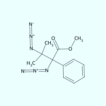 COC(=O)C(N=[N+]=[N-])(c1ccccc1)C(C)(C)N=[N+]=[N-]